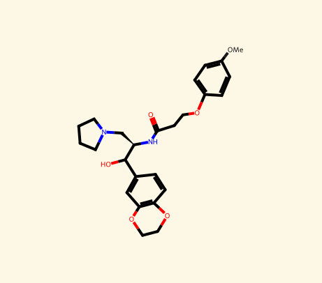 COc1ccc(OCCC(=O)N[C@H](CN2CCCC2)C(O)c2ccc3c(c2)OCCO3)cc1